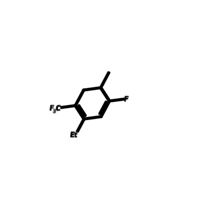 CCC1=C(C(F)(F)F)CC(C)C(F)=C1